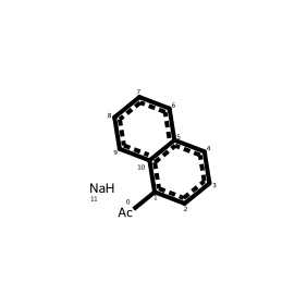 CC(=O)c1cccc2ccccc12.[NaH]